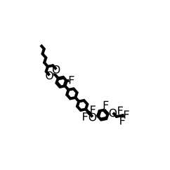 CCCCCC1COC(c2ccc(C3CCC(C4CCC(C(F)(F)Oc5ccc(OCC(F)(F)F)c(F)c5)CC4)CC3)c(F)c2)OC1